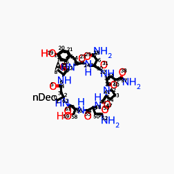 CCCCCCCCCCCC1CC(=O)NC(CC(C)=O)C(=O)NC(Cc2ccc(O)cc2)C(=O)NC(CC(N)=O)C(=O)NC(CCC(N)=O)C(=O)N2CCCC2C(=O)NC(CC(N)=O)C(=O)NC(CO)C(=O)N1